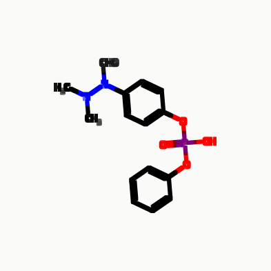 CN(C)N(C=O)c1ccc(OP(=O)(O)Oc2ccccc2)cc1